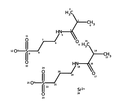 CC(C)C(=O)NCCCS(=O)(=O)[O-].CC(C)C(=O)NCCCS(=O)(=O)[O-].[Sr+2]